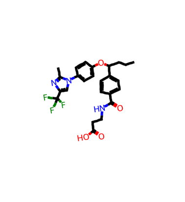 CCCC(Oc1ccc(-n2cc(C(F)(F)F)nc2C)cc1)c1ccc(C(=O)NCCC(=O)O)cc1